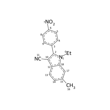 CCn1c(-c2ccc([N+](=O)[O-])cc2)c(C#N)c2ccc(C)cc21